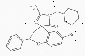 NC1=NC2(CC(c3ccccc3)Oc3ccc(Br)cc32)C(=O)N1CC1CCCCC1